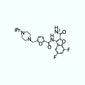 CC(C)N1CCN(Cc2ccc(C(=O)Nc3c(C(N)=O)oc4c(F)cc(F)cc34)o2)CC1